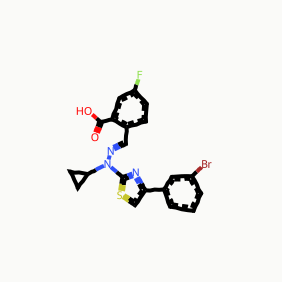 O=C(O)c1cc(F)ccc1C=NN(c1nc(-c2cccc(Br)c2)cs1)C1CC1